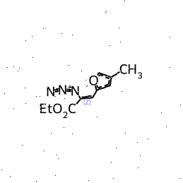 CCOC(=O)/C(=C/c1cc(C)co1)N=[N+]=[N-]